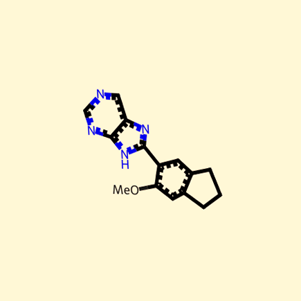 COc1cc2c(cc1-c1nc3cncnc3[nH]1)CCC2